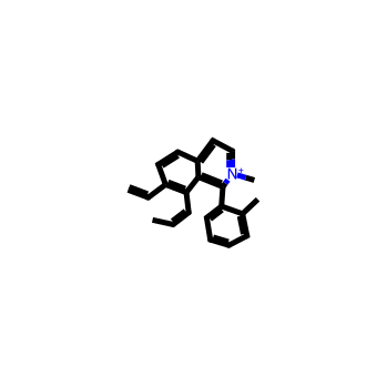 C=Cc1ccc2cc[n+](C)c(-c3ccccc3C)c2c1/C=C\C